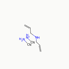 C=CCNCC=C.N#CN.N#CN